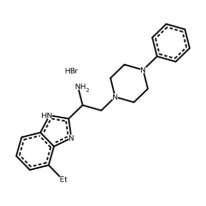 Br.CCc1cccc2[nH]c(C(N)CN3CCN(c4ccccc4)CC3)nc12